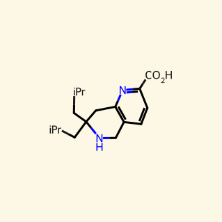 CC(C)CC1(CC(C)C)Cc2nc(C(=O)O)ccc2CN1